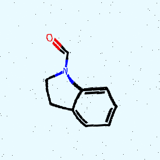 O=[C]N1[C]Cc2ccccc21